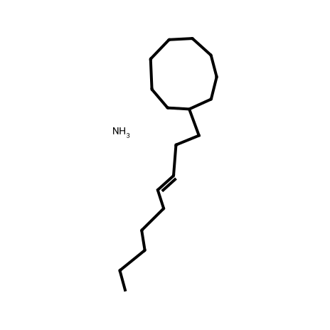 CCCCCC=CCCC1CCCCCCCC1.N